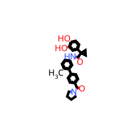 Cc1ccc(NC(=O)C2(c3ccc(O)c(O)c3)CC2)cc1-c1ccc(C(=O)N2CCCC2)cc1